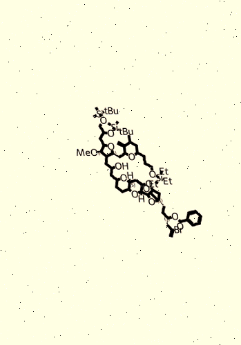 C=C(Br)C[C@H](CC[C@@]12CC3OC4C(O1)[C@H]1OC(CC(O)CC5[C@@H](OC)C(CC(CO[Si](C)(C)C(C)(C)C)O[Si](C)(C)C(C)(C)C)O[C@H]5CC5OC(CCCO[Si](CC)(CC)CC)CC(C)C5=C)CCC1O[C@H]4C3O2)OC(=O)c1ccccc1